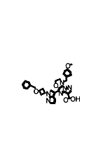 COc1ccc(CN2CCOc3c(-c4cn([C@H]5C[C@H](OCc6ccccc6)C5)c5ncccc45)nc4c(C(=O)O)cnn4c32)cc1